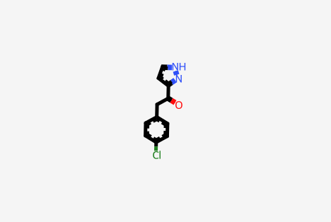 O=C(Cc1ccc(Cl)cc1)c1cc[nH]n1